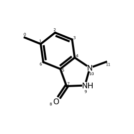 Cc1ccc2c(c1)c(=O)[nH]n2C